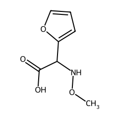 CONC(C(=O)O)c1ccco1